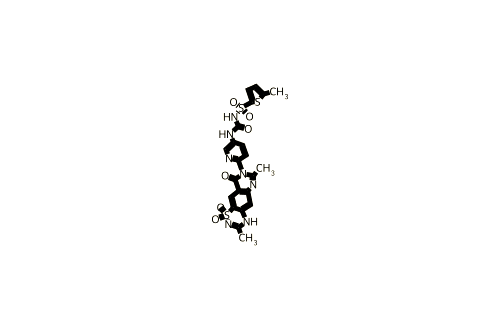 CC1=NS(=O)(=O)c2cc3c(=O)n(-c4ccc(NC(=O)NS(=O)(=O)c5ccc(C)s5)cn4)c(C)nc3cc2N1